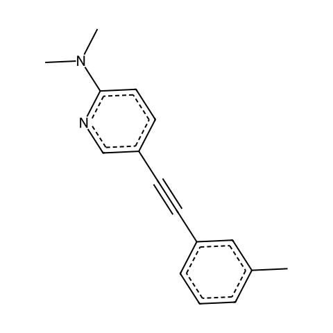 Cc1cccc(C#Cc2ccc(N(C)C)nc2)c1